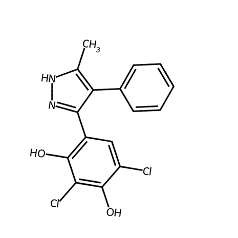 Cc1[nH]nc(-c2cc(Cl)c(O)c(Cl)c2O)c1-c1ccccc1